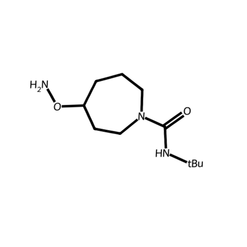 CC(C)(C)NC(=O)N1CCCC(ON)CC1